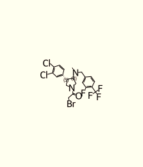 CN(Cc1ccc(C(F)(F)F)c(F)c1)[C@H]1CN(C(=O)CBr)C[C@@H]1c1ccc(Cl)c(Cl)c1